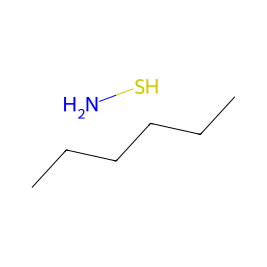 CCCCCC.NS